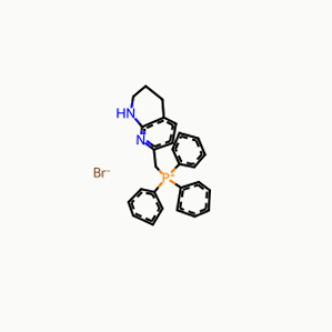 [Br-].c1ccc([P+](Cc2ccc3c(n2)NCCC3)(c2ccccc2)c2ccccc2)cc1